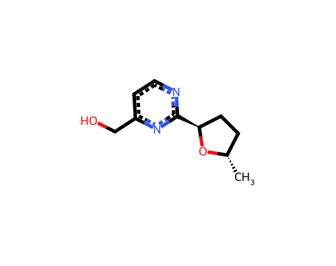 C[C@H]1CC[C@H](c2nccc(CO)n2)O1